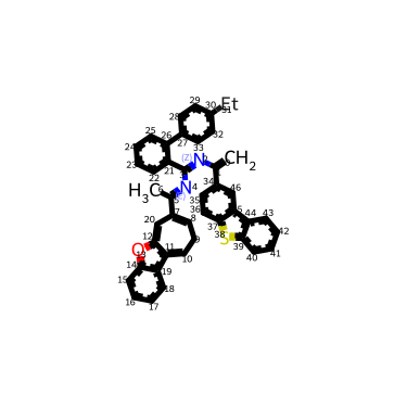 C=C(/N=C(\N=C(/C)C1=CCC=c2c(oc3ccccc23)=C1)c1ccccc1-c1ccc(CC)cc1)c1ccc2sc3ccccc3c2c1